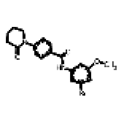 COc1cc(Br)cc(NC(=O)c2ccc(N3CCCCC3=O)cc2)c1